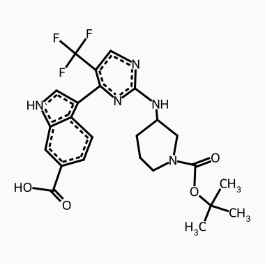 CC(C)(C)OC(=O)N1CCCC(Nc2ncc(C(F)(F)F)c(-c3c[nH]c4cc(C(=O)O)ccc34)n2)C1